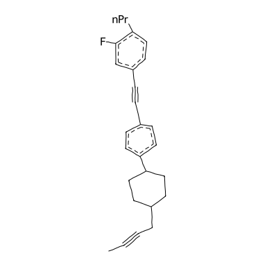 CC#CCC1CCC(c2ccc(C#Cc3ccc(CCC)c(F)c3)cc2)CC1